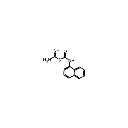 N=C(N)SC(=O)Nc1cccc2ccccc12